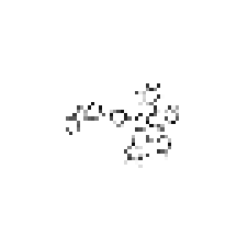 Cc1ccc2c(c1)B(c1c(C)c(C)c(C)c(C)c1C)c1cc(-c3ccc(-c4ccc5sc6ccccc6c5c4)cc3)cc3c1N2c1ccc(C)cc1B3c1c(C)c(C)c(C)c(C)c1C